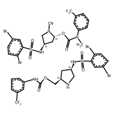 CN(C(=O)O[C@@H]1C[C@@H](NS(=O)(=O)c2cc(Br)ccc2Br)CN1C#N)c1cccc(C(F)(F)F)c1.O=C(Nc1cccc(C(F)(F)F)c1)OC[C@H]1C[C@@H](NS(=O)(=O)c2cc(Br)ccc2Br)CN1